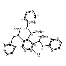 CCCCCCCCCC(Oc1ccccc1)c1ccc(O)c(C(CCCCCCCCC)Oc2ccccc2)c1C(CCCCCCCCC)Oc1ccccc1